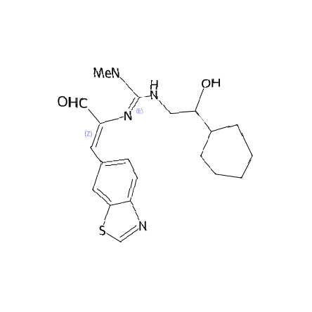 CN/C(=N\C(C=O)=C/c1ccc2ncsc2c1)NCC(O)C1CCCCC1